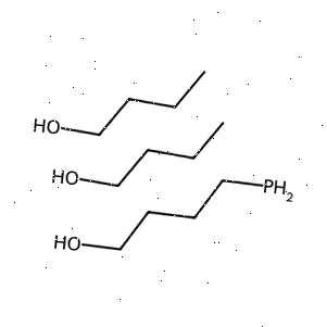 CCCCO.CCCCO.OCCCCP